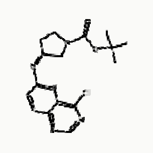 CC(C)(C)OC(=O)N1CC[C@H](Oc2ccc3ncnc(Cl)c3n2)C1